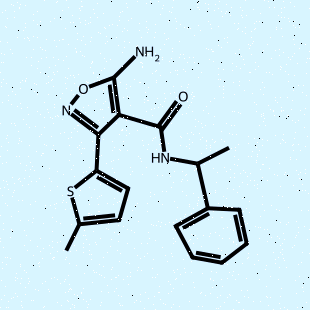 Cc1ccc(-c2noc(N)c2C(=O)NC(C)c2ccccc2)s1